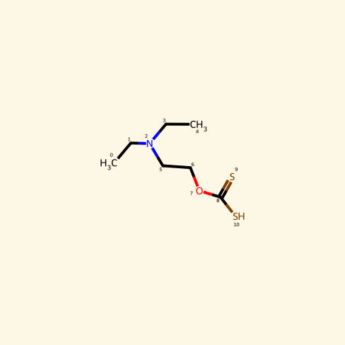 CCN(CC)CCOC(=S)S